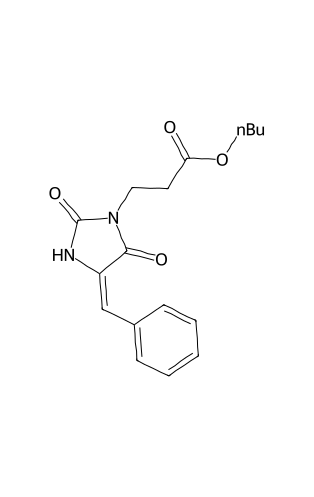 CCCCOC(=O)CCN1C(=O)N/C(=C/c2ccccc2)C1=O